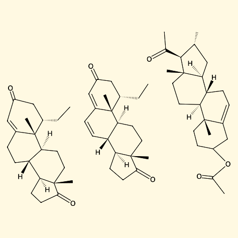 CC(=O)OC1CC[C@@]2(C)C(=CC[C@H]3[C@@H]4C[C@@H](C)[C@H](C(C)=O)[C@@]4(C)CC[C@@H]32)C1.CC[C@H]1CC(=O)C=C2C=C[C@@H]3[C@H](CC[C@]4(C)C(=O)CC[C@@H]34)[C@]21C.CC[C@H]1CC(=O)C=C2CC[C@@H]3[C@H](CC[C@]4(C)C(=O)CC[C@@H]34)[C@]21C